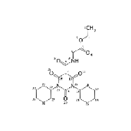 CCOC(=O)CNC(=O)C1C(=O)N(C2CCCCC2)C(=O)N(C2CCCCC2)C1=O